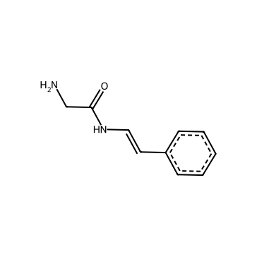 NCC(=O)NC=Cc1ccccc1